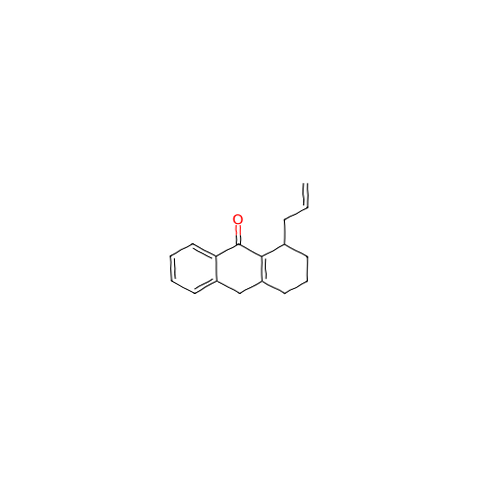 C=CCC1CCCC2=C1C(=O)c1ccccc1C2